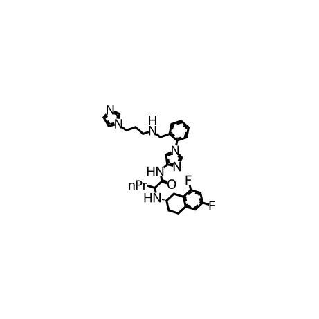 CCCC(N[C@H]1CCc2cc(F)cc(F)c2C1)C(=O)Nc1cn(-c2ccccc2CNCCCn2ccnc2)cn1